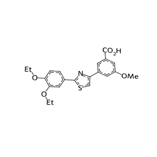 CCOc1ccc(-c2nc(-c3cc(OC)cc(C(=O)O)c3)cs2)cc1OCC